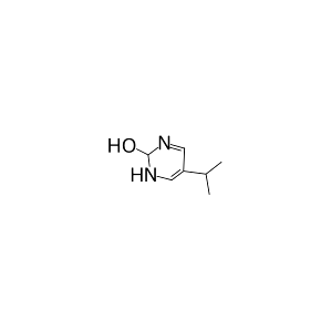 CC(C)C1=CNC(O)N=C1